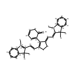 CN1C(=CC=C2CCC(C=CC3=[N+](C)c4ccccc4C3(C)C)=C2C2=CC=CCC2=S)C(C)(C)c2ccccc21